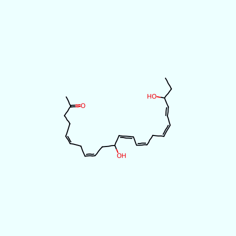 CCC(O)/C=C/C=C\C/C=C\C=C/C(O)C/C=C\C/C=C\CCC(C)=O